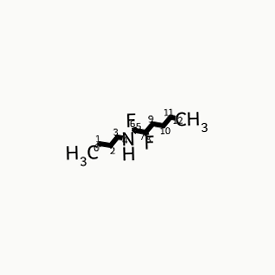 CCCCNC(F)C(F)CCCC